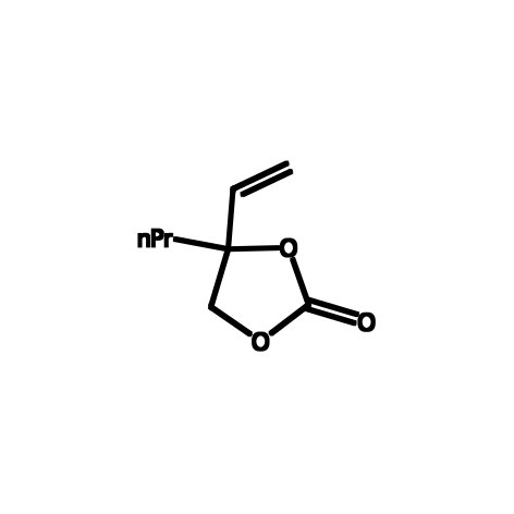 C=CC1(CCC)COC(=O)O1